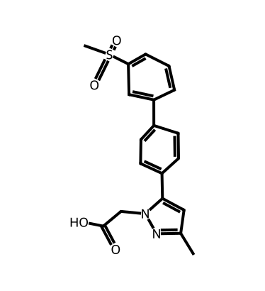 Cc1cc(-c2ccc(-c3cccc(S(C)(=O)=O)c3)cc2)n(CC(=O)O)n1